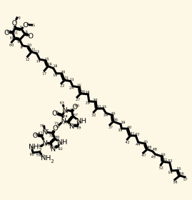 COC1=C(OC)C(=O)C(C/C=C(\C)CC/C=C(\C)CC/C=C(\C)CC/C=C(\C)CC/C=C(\C)CC/C=C(\C)CC/C=C(\C)CC/C=C(\C)CC/C=C(\C)CCC=C(C)C)=C(C)C1=O.Cn1c(=O)c2[nH]cnc2n(C)c1=O.Cn1c(=O)c2[nH]cnc2n(C)c1=O.NCCN